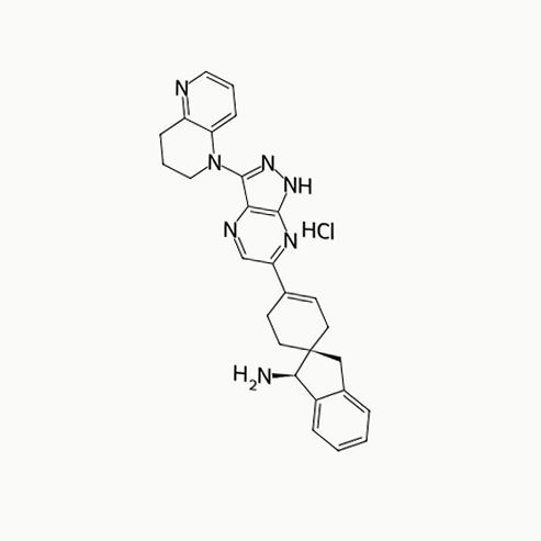 Cl.N[C@@H]1c2ccccc2C[C@@]12CC=C(c1cnc3c(N4CCCc5ncccc54)n[nH]c3n1)CC2